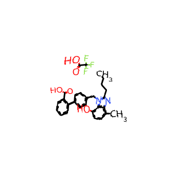 CCCCc1nc2c(C)ccc(O)c2n1Cc1ccc(-c2ccccc2C(=O)O)cc1.O=C(O)C(F)(F)F